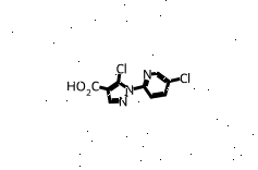 O=C(O)c1cnn(-c2ccc(Cl)cn2)c1Cl